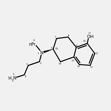 CCCN(CCCN)[C@H]1CCc2c(O)cccc2C1